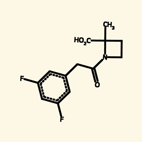 CC1(C(=O)O)CCN1C(=O)Cc1cc(F)cc(F)c1